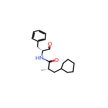 C[C@@H](CC1CCCCC1)C(=O)N[C@@H](C=O)Cc1ccccc1